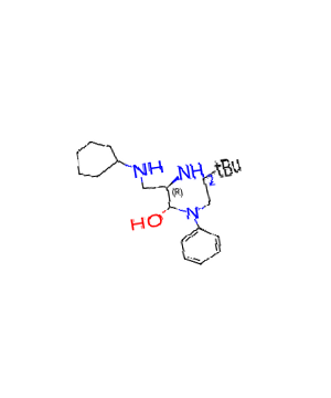 CC(C)(C)CCN(c1ccccc1)C(O)[C@H](N)CNC1CCCCC1